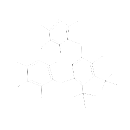 Nc1c(F)cc(F)c(Oc2cc(Oc3c(F)cc(F)c(N)c3F)c(C(F)(F)F)c(C(F)(F)F)c2F)c1F